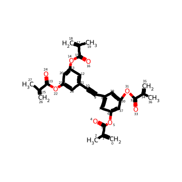 C=C(C)C(=O)Oc1cc(C#Cc2cc(OC(=O)C(=C)C)cc(OC(=O)C(=C)C)c2)cc(OC(=O)C(=C)C)c1